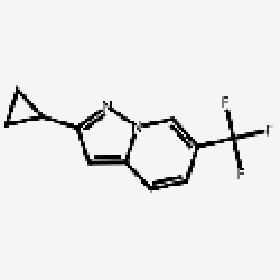 FC(F)(F)c1ccc2cc(C3CC3)nn2c1